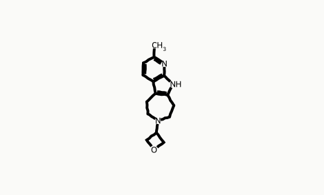 Cc1ccc2c3c([nH]c2n1)CCN(C1COC1)CC3